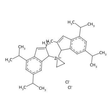 CC1=Cc2c(C(C)C)cc(C(C)C)cc2[CH]1[Zr+2]1([CH]2C(C)=Cc3c(C(C)C)cc(C(C)C)cc32)[CH2][CH2]1.[Cl-].[Cl-]